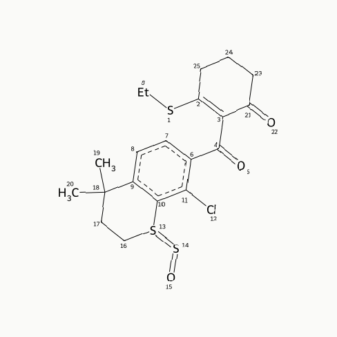 CCSC1=C(C(=O)c2ccc3c(c2Cl)S(=S=O)CCC3(C)C)C(=O)CCC1